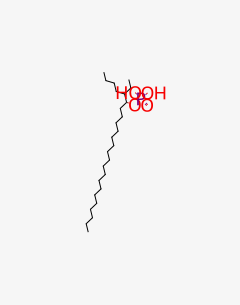 CCCCCCCCCCCCCCCCCCC(OP(=O)(O)O)C(CC)CCCC